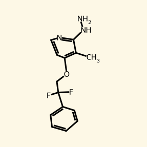 Cc1c(OCC(F)(F)c2ccccc2)ccnc1NN